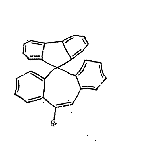 BrC1=Cc2ccccc2C2(c3ccccc31)c1ccccc1-c1ccccc12